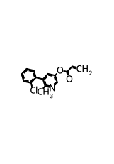 C=CC(=O)Oc1cnc(C)c(-c2ccccc2Cl)c1